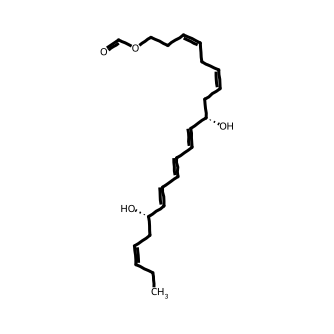 CC/C=C\C[C@H](O)/C=C/C=C/C=C/[C@@H](O)C/C=C\C/C=C\CCOC=O